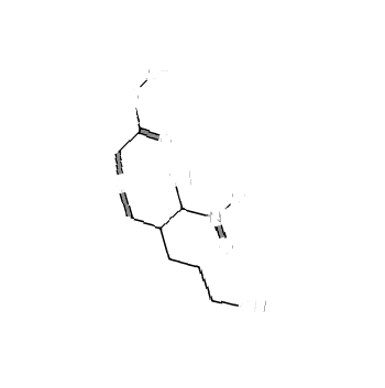 CCCCC(C=C=CC(=O)OC)C(C)[N+](=O)[O-]